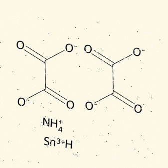 O=C([O-])C(=O)[O-].O=C([O-])C(=O)[O-].[NH4+].[SnH+3]